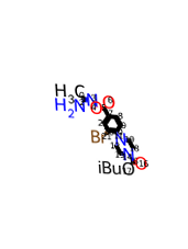 CC(N)=NOC(=O)c1ccc(N2CCN(C(=O)OCC(C)C)CC2)c(Br)c1